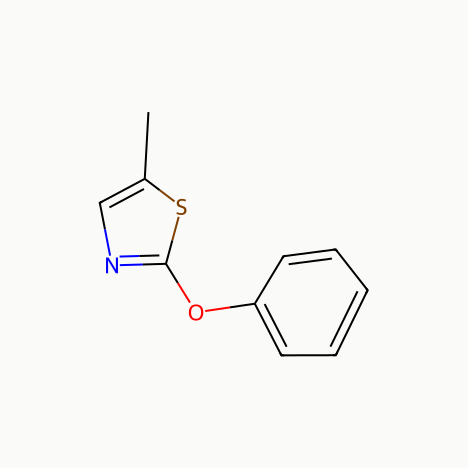 Cc1cnc(Oc2ccccc2)s1